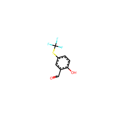 O=Cc1cc(SC(F)(F)F)ccc1O